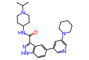 CC(C)N1CCC(NC(=O)c2n[nH]c3ccc(-c4cncc(N5CCCCC5)c4)cc23)CC1